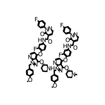 COc1ccc(Cn2nc(O[C@H]3CCCN(C)C3)c3c(Oc4ccc(NC(=O)c5ccnn(-c6ccc(F)cc6)c5=O)cc4F)ccnc32)cc1.COc1ccc(Cn2nc(O[C@H]3CCCNC3)c3c(Oc4ccc(NC(=O)c5ccnn(-c6ccc(F)cc6)c5=O)cc4F)ccnc32)cc1